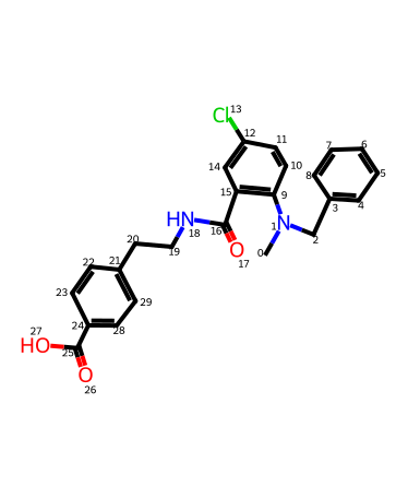 CN(Cc1ccccc1)c1ccc(Cl)cc1C(=O)NCCc1ccc(C(=O)O)cc1